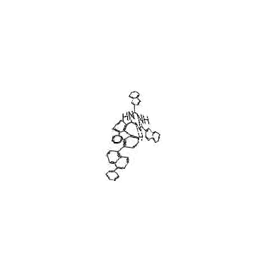 c1ccc(-c2cccc3c(-c4cccc5c4oc4cccc(C6NC(c7ccc8ccccc8c7)NC(c7ccc8ccccc8c7)N6)c45)cccc23)cc1